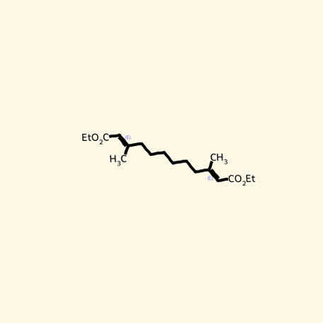 CCOC(=O)/C=C(\C)CCCCCC/C(C)=C/C(=O)OCC